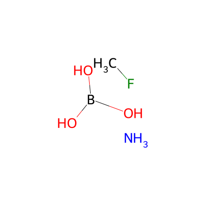 CF.N.OB(O)O